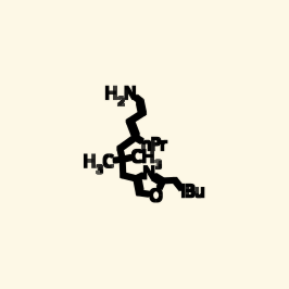 CCC/C(=C\C=C/N)CC(C)(C)Cc1coc(CC(C)CC)n1